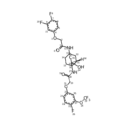 O=C(COc1ccc(F)c(F)c1)NC12CCC(NC(=O)COc3ccc(F)c(OC(F)(F)F)c3)(CC1)[C@@H](O)C2